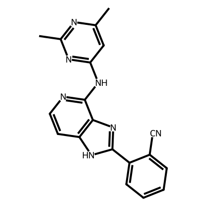 Cc1cc(Nc2nccc3[nH]c(-c4ccccc4C#N)nc23)nc(C)n1